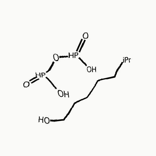 CC(C)CCCCCO.O=[PH](O)O[PH](=O)O